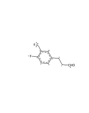 O=CCCc1ccc(F)c(C(F)(F)F)c1